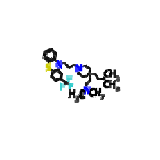 CC(C)CCC1(CCN(C)C)CCN(CCCN2c3ccccc3Sc3ccc(C(F)(F)F)cc32)CC1